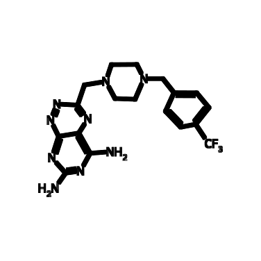 Nc1nc(N)c2nc(CN3CCN(Cc4ccc(C(F)(F)F)cc4)CC3)nnc2n1